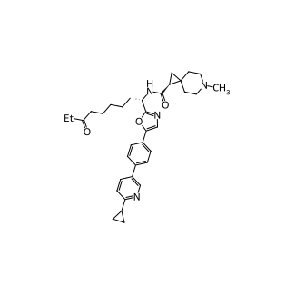 CCC(=O)CCCCC[C@H](NC(=O)[C@H]1CC12CCN(C)CC2)c1ncc(-c2ccc(-c3ccc(C4CC4)nc3)cc2)o1